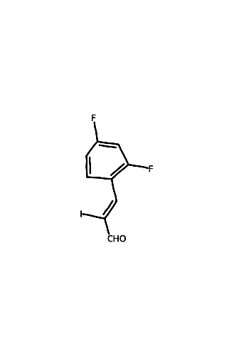 O=CC(I)=Cc1ccc(F)cc1F